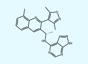 Cc1noc(C)c1-c1nc2c(C)cccc2cc1[C@H](C)Nc1ncnc2[nH]ncc12